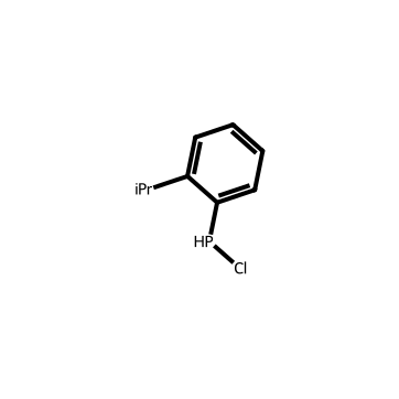 CC(C)c1ccccc1PCl